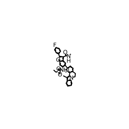 CCS(=O)(=O)Nc1cc2oc(-c3ccc(F)cc3)c(C(=O)NC)c2cc1-c1ccc2c(n1)-c1c(C)c3ccccc3n1CC2